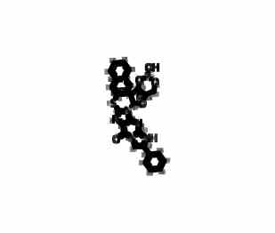 O=c1c2nc(Sc3ccc4ccccc4c3)n([C@@H]3OC4COP(O)O[C@H]4C3O)c2nc2[nH]c(-c3ccccc3)cn12